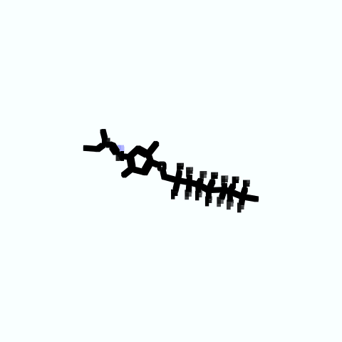 CCN(C)/C=N/c1cc(C)c(OCC(F)(F)C(F)(F)C(F)(F)C(F)(F)C(F)(F)C(F)(F)C(C)(F)F)cc1C